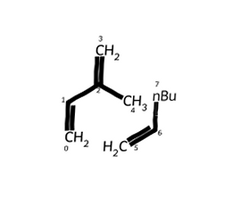 C=CC(=C)C.C=CCCCC